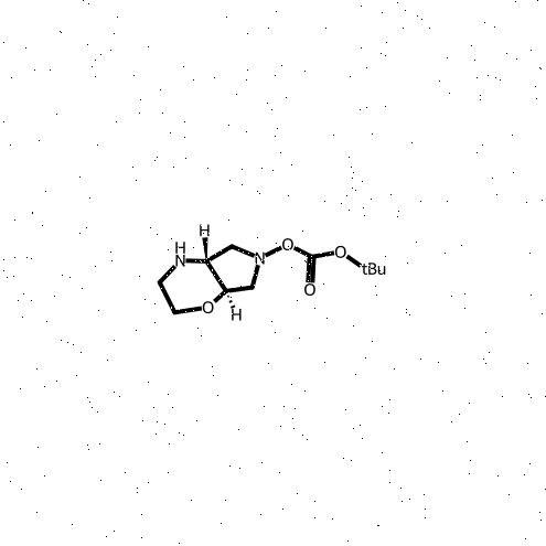 CC(C)(C)OC(=O)ON1C[C@H]2NCCO[C@@H]2C1